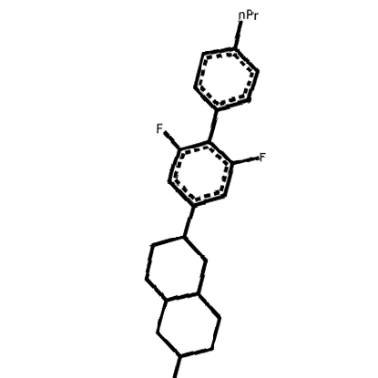 CCCc1ccc(-c2c(F)cc(C3CCC4CC(CC)CCC4C3)cc2F)cc1